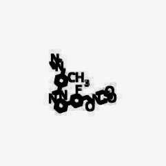 Cc1cc(-c2cnc3cccc(-c4ccc(CC(=O)N5CCS(=O)(=O)CC5)c(F)c4)c3n2)ccc1Cn1ccnc1